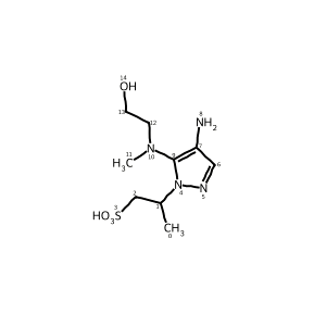 CC(CS(=O)(=O)O)n1ncc(N)c1N(C)CCO